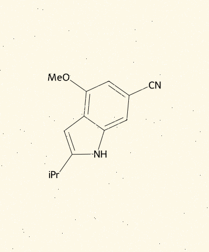 COc1cc(C#N)cc2[nH]c(C(C)C)cc12